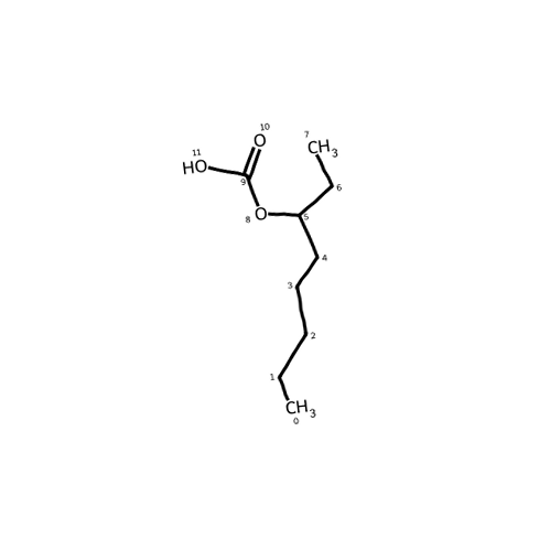 CCCCCC(CC)OC(=O)O